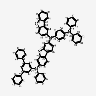 c1ccc(-c2cc(-c3ccccc3)cc(N(c3ccccc3)c3ccc4c(c3)sc3cc(N(c5ccc(N(c6ccccc6)c6ccccc6)cc5)c5ccc6oc7ccccc7c6c5)ccc34)c2)cc1